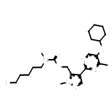 Cc1nc(-c2cnn(C)c2COC(=O)N(C)CCCCCF)ncc1OC1CCCCC1